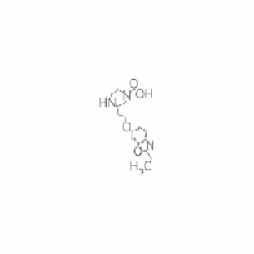 CCc1nc2ccc(OCC[C@@H]3CN(C(=O)O)CCN3)cc2o1